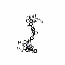 CCn1cc(C(=O)O)c(=O)c2cc(F)c(N3CCN(C(=O)OCc4ccc(NC[C@H](C)/C=C(\F)[C@@H](NC(=O)OCc5ccccc5)C(C)C)cc4)CC3)cc21